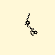 CCCCCc1ccc(OCCNc2ncnc3c2CCC3)c(C)c1